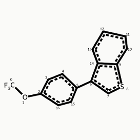 FC(F)(F)Oc1ccc(-c2csc3ccccc23)cc1